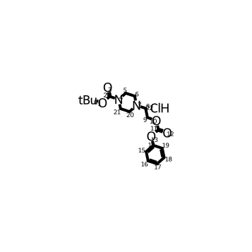 CC(C)(C)OC(=O)N1CCN(CCOC(=O)Oc2ccccc2)CC1.Cl